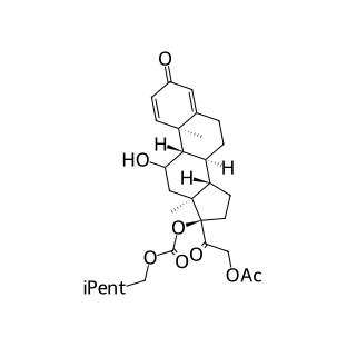 CCCC(C)COC(=O)O[C@]1(C(=O)COC(C)=O)CC[C@H]2[C@@H]3CCC4=CC(=O)C=C[C@]4(C)[C@H]3C(O)C[C@@]21C